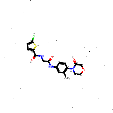 Cc1cc(NC(=O)CNC(=O)c2ccc(Cl)s2)ccc1N1CCOCC1=O